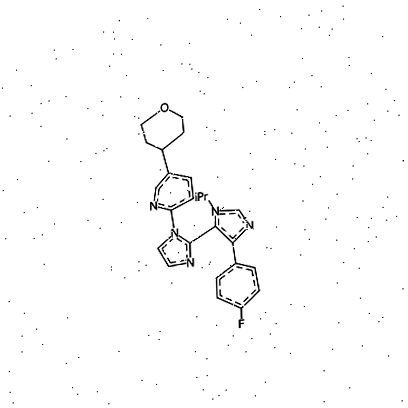 CC(C)n1cnc(-c2ccc(F)cc2)c1-c1nccn1-c1ccc(C2CCOCC2)cn1